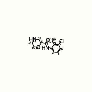 O=C(Nc1cccc(Cl)c1Cl)[C@H]1CNCCO1